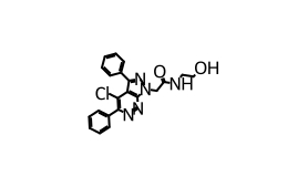 O=C(Cn1nc(-c2ccccc2)c2c(Cl)c(-c3ccccc3)nnc21)NCCO